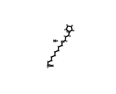 CCCCCCCCCCCCCCCCCCOCCCN1CCCC1.I